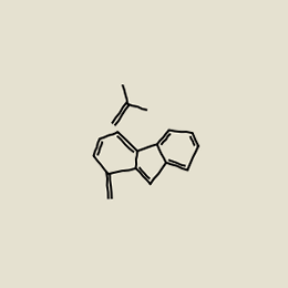 C=C(C)C.C=c1cccc2c1=Cc1ccccc1-2